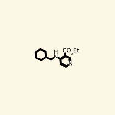 CCOC(=O)c1cnccc1NCC1CCCCC1